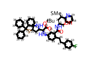 CSC(C[C@@H](CO)NC(=O)c1cc(NC(C(=O)OC(C)(C)C)C2CC(SC(c3ccccc3)(c3ccccc3)c3ccccc3)CN2)ccc1CCc1ccc(F)cc1)c1ccccn1